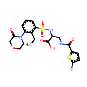 CCc1c(N2CCOCC2=O)cccc1S(=O)(=O)N[C@@H](CNC(=O)c1ccc(Cl)s1)C(=O)O